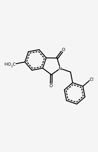 O=C(O)c1ccc2c(c1)C(=O)N(Cc1ccccc1Cl)C2=O